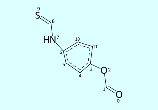 O=COc1ccc(NC=S)cc1